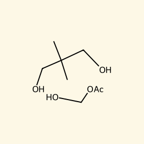 CC(=O)OCO.CC(C)(CO)CO